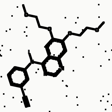 C#Cc1cccc(N(I)c2ncnc3cc(OCCOC)c(OCCOC)cc23)c1